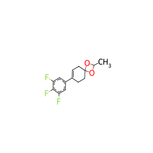 CC1OC2(CC=C(c3cc(F)c(F)c(F)c3)CC2)O1